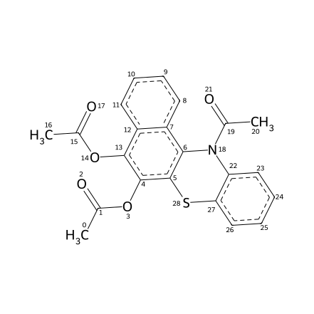 CC(=O)Oc1c2c(c3ccccc3c1OC(C)=O)N(C(C)=O)c1ccccc1S2